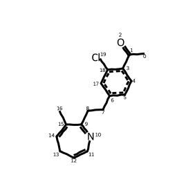 CC(=O)c1ccc(CCC2=NC=CCC=C2C)cc1Cl